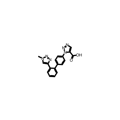 Cn1cc(-c2ccccc2-c2ccc(-n3nncc3C(=O)O)cc2)nn1